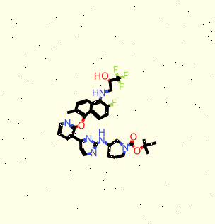 Cc1ccc2c(NCC(O)C(F)(F)F)c(F)ccc2c1Oc1ncccc1-c1ccnc(NC2CCCN(C(=O)OC(C)(C)C)C2)n1